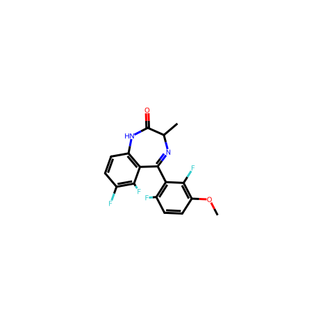 COc1ccc(F)c(C2=NC(C)C(=O)Nc3ccc(F)c(F)c32)c1F